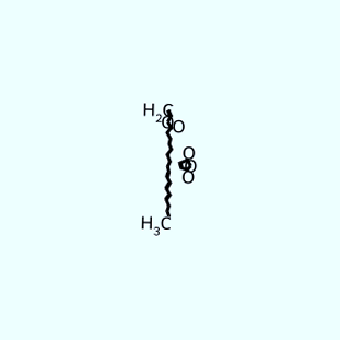 C=COC(=O)CCCCCCCC=CC=CC=CCCCC.O=C1C=CC(=O)O1